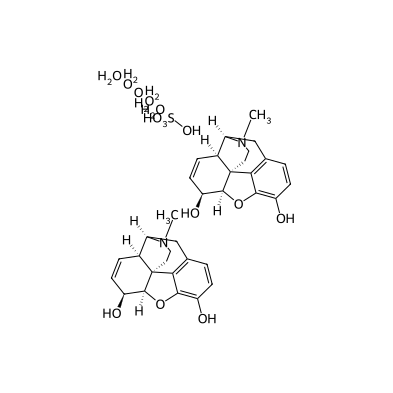 CN1CC[C@]23c4c5ccc(O)c4O[C@H]2[C@@H](O)C=C[C@H]3[C@H]1C5.CN1CC[C@]23c4c5ccc(O)c4O[C@H]2[C@@H](O)C=C[C@H]3[C@H]1C5.O.O.O.O.O.O=S(=O)(O)O